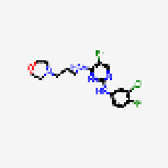 Fc1ccc(Nc2ncc(Br)c(NCCCN3CCOCC3)n2)cc1Cl